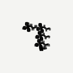 CCCS(=O)(=O)[O-].CCCS(=O)(=O)[O-].CCCS(=O)(=O)[O-].CCCS(=O)(=O)[O-].[W+4]